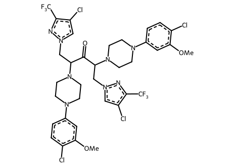 COc1cc(N2CCN(C(Cn3cc(Cl)c(C(F)(F)F)n3)C(=O)C(Cn3cc(Cl)c(C(F)(F)F)n3)N3CCN(c4ccc(Cl)c(OC)c4)CC3)CC2)ccc1Cl